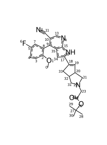 COc1ccc(F)cc1-c1c(C#N)cnc2[nH]c(C3=CC4CN(CC(=O)OC(C)(C)C)CC4C3)cc12